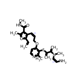 C=Cc1oc(C)c(C(=O)NC)c1/C=C\COc1ccnc(C)c1SC(=C)C(=C)N(C)/C=C\N